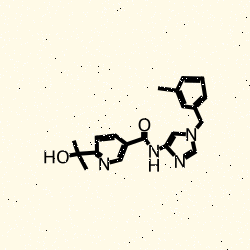 Cc1cccc(Cn2cnc(NC(=O)c3ccc(C(C)(C)O)nc3)c2)c1